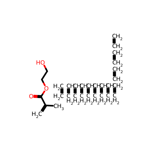 C=C.C=C.C=C.C=C.C=C.C=C.C=C.C=C.C=C.C=C.C=C.C=C.C=C(C)C(=O)OCCO